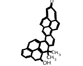 CC1(C)C2=C3C(=CCc4cccc(c43)CC2O)c2c1ccc1c2=CC2C=CC3=CC(=O)C=c4ccc=1c2c43